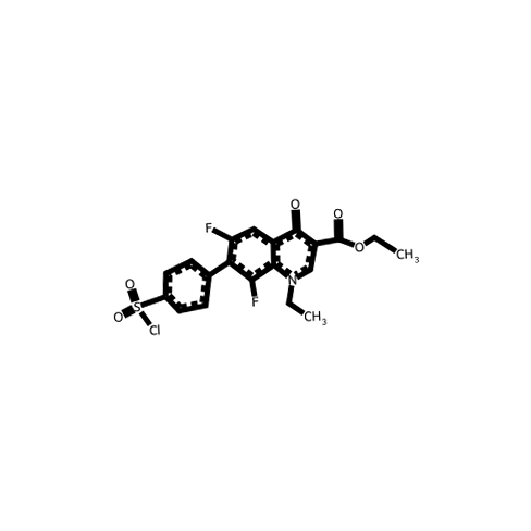 CCOC(=O)c1cn(CC)c2c(F)c(-c3ccc(S(=O)(=O)Cl)cc3)c(F)cc2c1=O